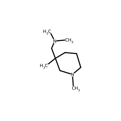 CN(C)CC1(C)CCCN(C)C1